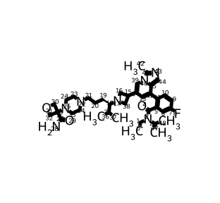 CCN(C(=O)c1cc(F)ccc1-c1cc(C2CN([C@H](CCCN3CCN(C4(C(N)=O)COC4)CC3)C(C)C)C2)cn2c(C)ncc12)C(C)C